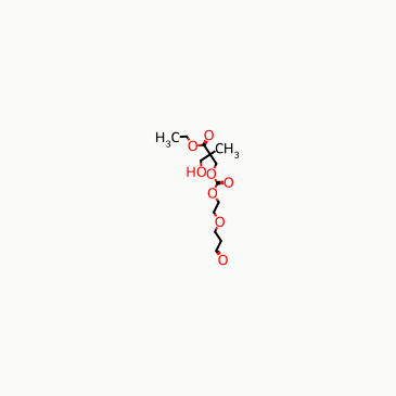 CCOC(=O)C(C)(CO)COC(=O)OCCOCCC=O